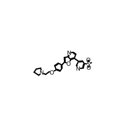 CS(=O)(=O)c1cncc(-c2ccnc3cc(-c4ccc(OCCN5CCCC5)cc4)oc23)c1